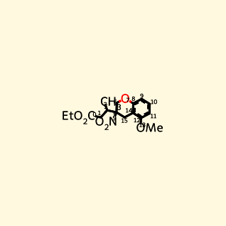 CCOC(=O)CC(C)C1([N+](=O)[O-])COc2cccc(OC)c2C1